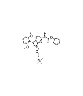 COc1cccc(OC)c1-c1cn(COCC[Si](C)(C)C)c2nc(NC(=O)Oc3ccccc3)ccc12